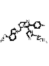 CCNc1nccc(-c2c(-c3ccc(F)cc3)nc3n2C(Cn2ccc4c(OC)cccc42)CC3)n1